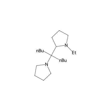 CCCCC(CCCC)(C1CCCN1CC)N1CCCC1